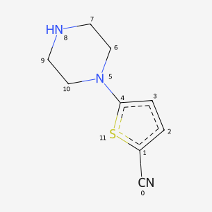 N#Cc1ccc(N2CCNCC2)s1